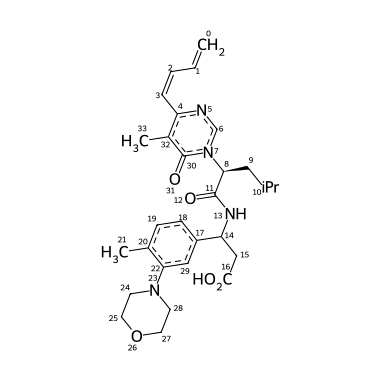 C=C/C=C\c1ncn([C@@H](CC(C)C)C(=O)NC(CC(=O)O)c2ccc(C)c(N3CCOCC3)c2)c(=O)c1C